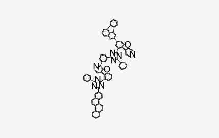 c1ccc(-c2nc(-c3cccc(-c4nccc5c4oc4cccc(-c6nc(-c7ccccc7)nc(-c7ccc8c(ccc9c%10ccccc%10ccc89)c7)n6)c45)c3)nc(-c3cc(-c4cc5c6c(cccc6c4)-c4ccccc4-5)cc4oc5cnccc5c34)n2)cc1